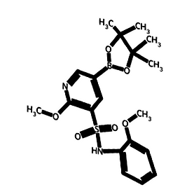 COc1ccccc1NS(=O)(=O)c1cc(B2OC(C)(C)C(C)(C)O2)cnc1OC